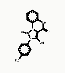 O=C1Nc2ccccc2N2C1=C(O)N(c1ccc(C(F)(F)F)cc1)[NH+]2[O-]